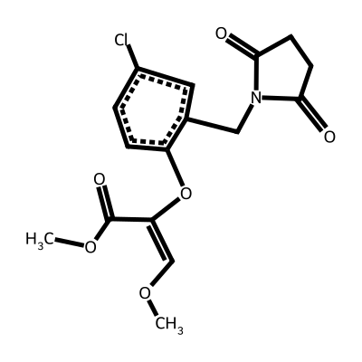 COC=C(Oc1ccc(Cl)cc1CN1C(=O)CCC1=O)C(=O)OC